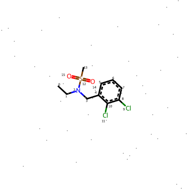 CCN(Cc1cccc(Cl)c1Cl)S(C)(=O)=O